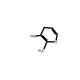 CC1=C(O)CC=CO1